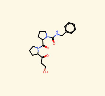 O=C(CCO)C1CCCN1C(=O)C1CCCN1C(=O)NCc1ccccc1